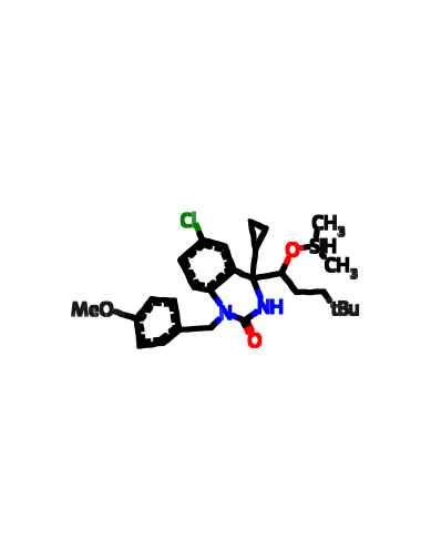 COc1ccc(CN2C(=O)NC(C3CC3)(C(CCC(C)(C)C)O[SiH](C)C)c3cc(Cl)ccc32)cc1